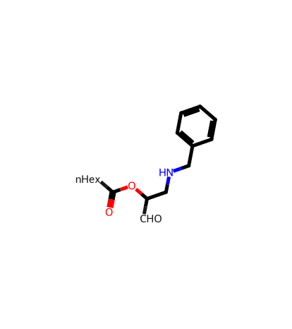 CCCCCCC(=O)OC(C=O)CNCc1ccccc1